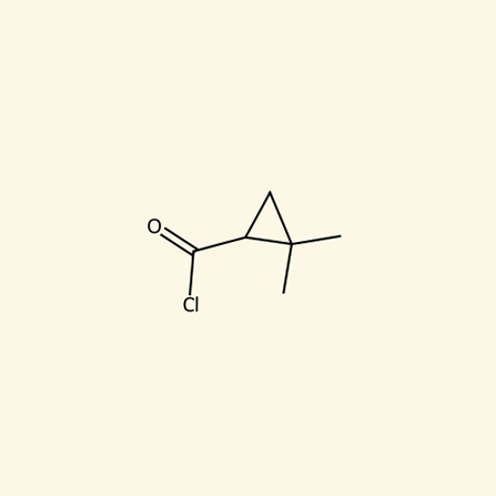 CC1(C)CC1C(=O)Cl